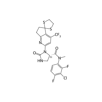 CN(C(=O)[C@@H]1CNC(=O)N1c1cc(C(F)(F)F)c2c(n1)CCC21SCCS1)c1ccc(F)c(Cl)c1F